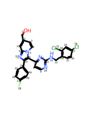 OCc1ccn2c(-c3ccnc(NCc4ccc(Cl)cc4Cl)n3)c(-c3ccc(F)cc3)nc2c1